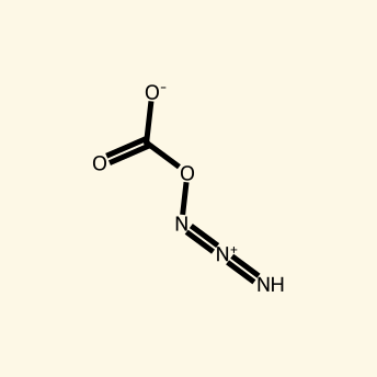 N=[N+]=NOC(=O)[O-]